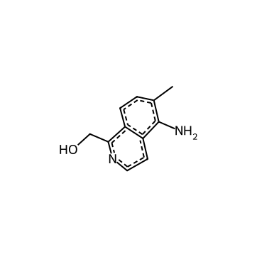 Cc1ccc2c(CO)nccc2c1N